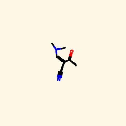 CC(=O)/C(C#N)=C\N(C)C